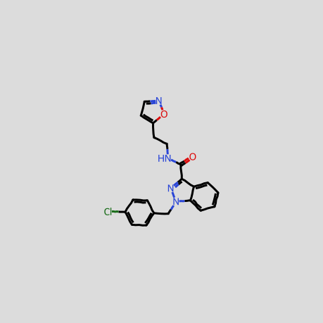 O=C(NCCc1ccno1)c1nn(Cc2ccc(Cl)cc2)c2ccccc12